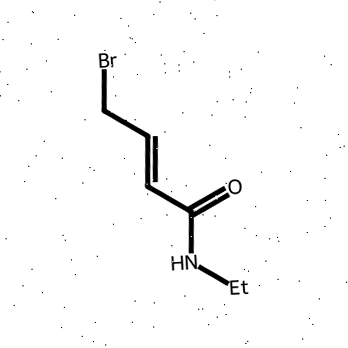 CCNC(=O)/C=C/CBr